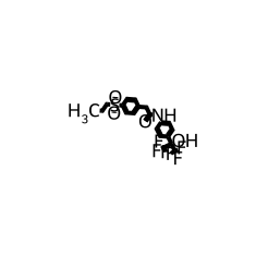 CCCS(=O)(=O)c1ccc(CC(=O)Nc2ccc(C(O)(C(F)(F)F)C(F)(F)F)cc2)cc1